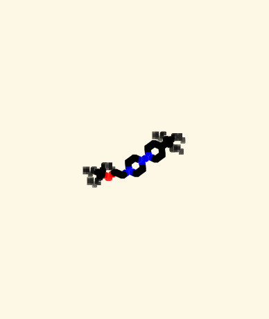 CC(C)(C)OCCN1CCN(N2CCC(C(C)(C)C)CC2)CC1